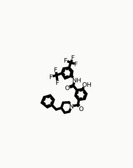 O=C(Nc1cc(C(F)(F)F)cc(C(F)(F)F)c1)c1cc(C(=O)N2CCC(Cc3ccccc3)CC2)ccc1O